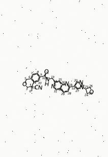 C[C@@]1(C#N)COCc2ccc(C(=O)NCc3cc4nc(-c5cnn(C6COC6)c5)ccc4cn3)cc21